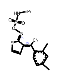 CCCNS(=O)(=O)O/N=C1\SC=C\C1=C(\C#N)c1ccc(C)cc1C